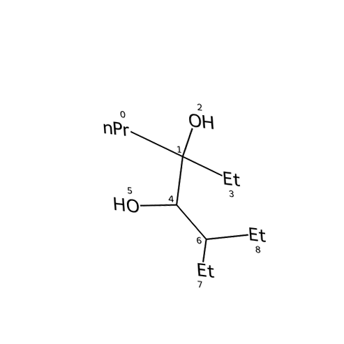 CCCC(O)(CC)C(O)C(CC)CC